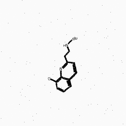 CC(C)(C)NCCc1ccc2cccc(Cl)c2n1